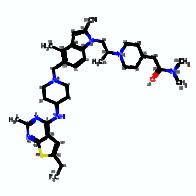 Cc1nc(NC2CCN(Cc3ccc4c(cc(C#N)n4C[C@H](C)N4CCC(CC(=O)N(C)C)CC4)c3C)CC2)c2cc(CC(F)(F)F)sc2n1